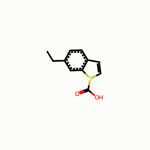 CCc1ccc2c(c1)[S](C(=O)O)C=[C]2